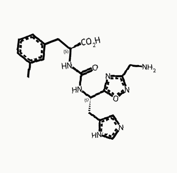 Cc1cccc(C[C@H](NC(=O)N[C@@H](Cc2cnc[nH]2)c2nc(CN)no2)C(=O)O)c1